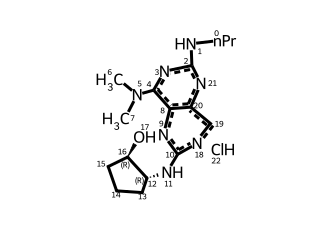 CCCNc1nc(N(C)C)c2nc(N[C@@H]3CCC[C@H]3O)ncc2n1.Cl